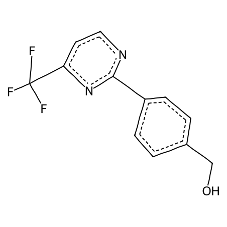 OCc1ccc(-c2nccc(C(F)(F)F)n2)cc1